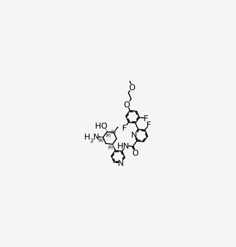 COCCOc1cc(F)c(-c2nc(C(=O)Nc3cnccc3[C@H]3C[C@@H](N)[C@H](O)[C@@H](C)C3)ccc2F)c(F)c1